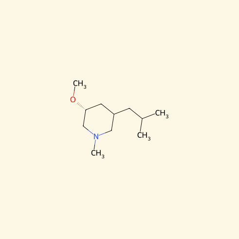 CO[C@@H]1CC(CC(C)C)CN(C)C1